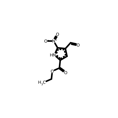 CCOC(=O)c1cc(C=O)c([N+](=O)[O-])[nH]1